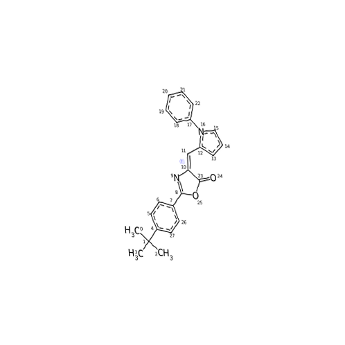 CC(C)(C)c1ccc(C2=N/C(=C/c3cccn3-c3ccccc3)C(=O)O2)cc1